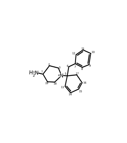 NC1CCN(C2(Cc3ccccc3)C=CC=CC2)CC1